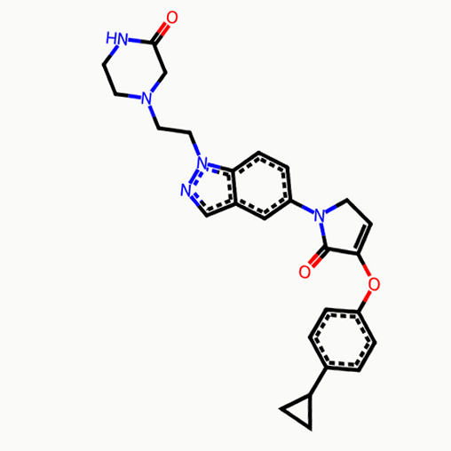 O=C1CN(CCn2ncc3cc(N4CC=C(Oc5ccc(C6CC6)cc5)C4=O)ccc32)CCN1